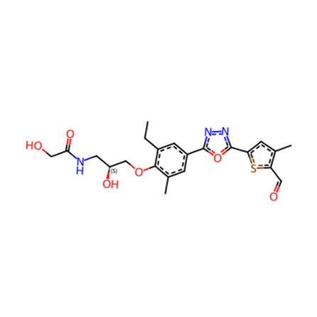 CCc1cc(-c2nnc(-c3cc(C)c(C=O)s3)o2)cc(C)c1OC[C@@H](O)CNC(=O)CO